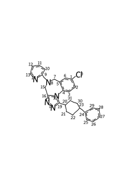 Clc1ccc2c(c1)CN(c1ccccn1)Cc1nnc(C3CCC(c4ccccc4)CC3)n1-2